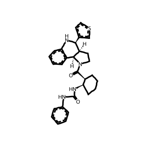 O=C(Nc1ccccc1)N[C@@H]1CCCC[C@@H]1C(=O)N1CC[C@@H]2[C@H](c3ccsc3)Nc3ccccc3[C@@H]21